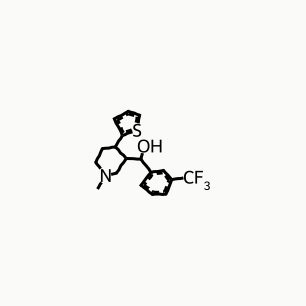 CN1CCC(c2cccs2)C(C(O)c2cccc(C(F)(F)F)c2)C1